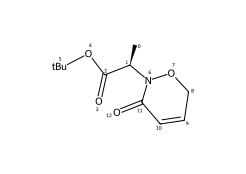 C[C@H](C(=O)OC(C)(C)C)N1OCC=CC1=O